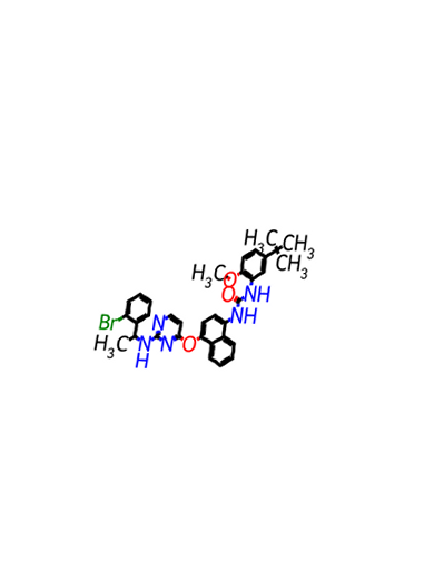 COc1ccc(C(C)(C)C)cc1NC(=O)Nc1ccc(Oc2ccnc(NC(C)c3ccccc3Br)n2)c2ccccc12